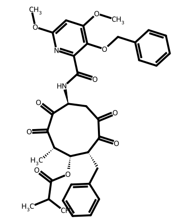 COc1cc(OC)c(OCc2ccccc2)c(C(=O)N[C@H]2CC(=O)C(=O)[C@H](Cc3ccccc3)[C@H](OC(=O)C(C)C)[C@H](C)C(=O)C2=O)n1